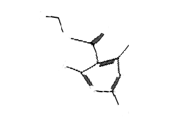 CCOC(=O)c1c(C)cc(C)nc1N